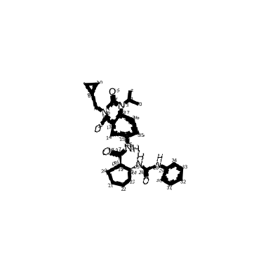 CC(C)n1c(=O)n(CC2CC2)c(=O)c2cc(NC(=O)[C@@H]3CCCC[C@H]3NC(=O)Nc3ccccc3)ccc21